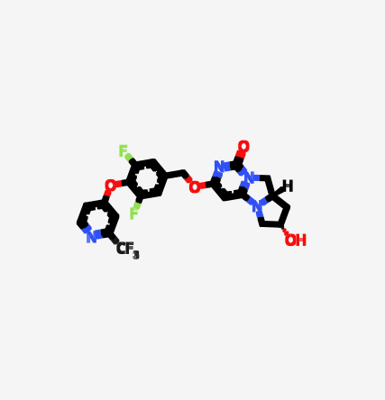 O=c1nc(OCc2cc(F)c(Oc3ccnc(C(F)(F)F)c3)c(F)c2)cc2n1C[C@@H]1C[C@H](O)CN21